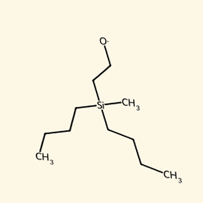 CCCC[Si](C)(CC[O])CCCC